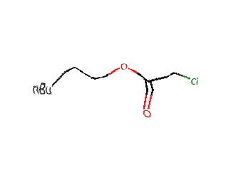 CCCCC[CH]OC(=O)CCl